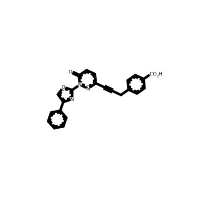 O=C(O)c1ccc(CC#Cc2ccc(=O)n(-c3nc(-c4ccccc4)co3)n2)cc1